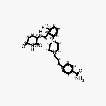 NC(=O)c1ccc(CCCN2CCN(c3cccc(Br)c3CNC3CCC(=O)NC3=O)CC2)cc1